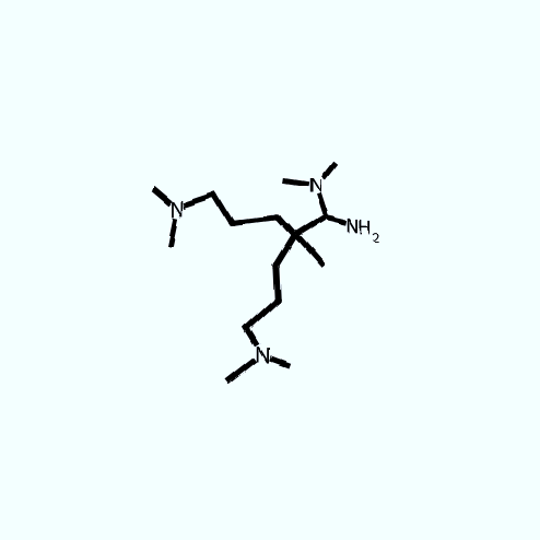 CN(C)CCCC(C)(CCCN(C)C)C(N)N(C)C